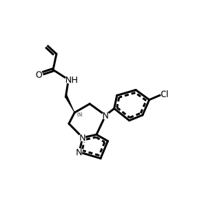 C=CC(=O)NC[C@H]1CN(c2ccc(Cl)cc2)c2ccnn2C1